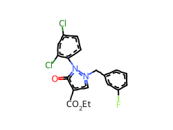 CCOC(=O)c1cn(Cc2cccc(F)c2)n(-c2ccc(Cl)cc2Cl)c1=O